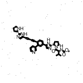 COC(=O)N[C@H](C(=O)N1CCC[C@H]1c1ncc(-c2ccc(C#CC#Cc3cnc([C@@H]4CCCN4)[nH]3)c(-c3cccnc3)c2)[nH]1)C(C)C